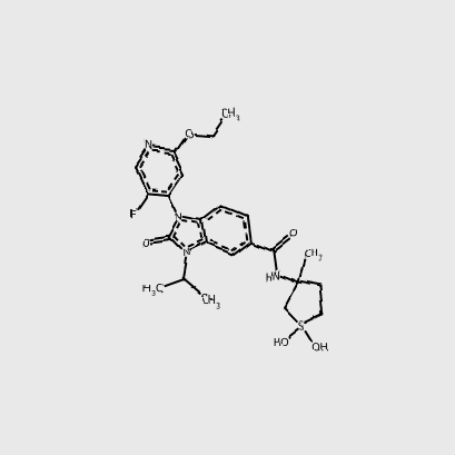 CCOc1cc(-n2c(=O)n(C(C)C)c3cc(C(=O)NC4(C)CCS(O)(O)C4)ccc32)c(F)cn1